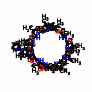 CC(C)C[C@@H]1C(=O)N[C@H](CC(C)C)C(=O)N(C)[C@H](C(C)C)C(=O)N(C)[C@H]([C@H](O)[C@H](C)CCN(C)c2ccccn2)C(=O)N[C@H]([C@@H](C)O)C(=O)N(C)CC(=O)N(C)[C@@H](CC(C)C)C(=O)N[C@H](CC(C)C)C(=O)N(C)[C@H](CC(C)C)C(=O)N[C@H](C)C(=O)O[C@@H](C(C)C)C(=O)N1C